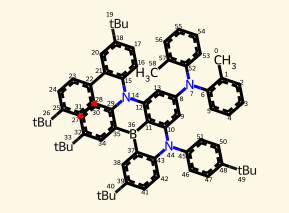 Cc1ccccc1N(c1cc2c3c(c1)N(c1ccc(C(C)(C)C)cc1-c1ccc(C(C)(C)C)cc1)c1ccc(C(C)(C)C)cc1B3c1cc(C(C)(C)C)ccc1N2c1ccc(C(C)(C)C)cc1)c1ccccc1C